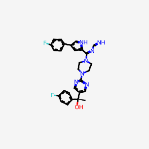 C[C@@](O)(c1ccc(F)cc1)c1cnc(N2CCN(/C(=N/C=N)c3cc(-c4ccc(F)cc4)c[nH]3)CC2)nc1